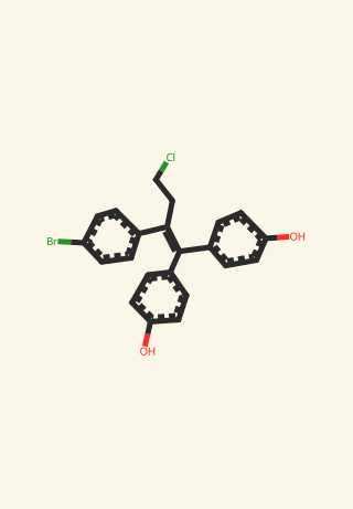 Oc1ccc(C(=C(CCCl)c2ccc(Br)cc2)c2ccc(O)cc2)cc1